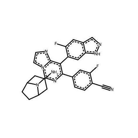 N#Cc1ccc(-c2nc(N3C4CCC3CC(N)C4)n3ccnc3c2-c2cc3[nH]ncc3cc2F)cc1F